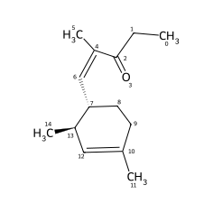 CCC(=O)C(C)=C[C@@H]1CCC(C)=C[C@H]1C